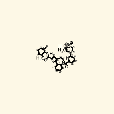 Cc1cccc(F)c1NC(=O)c1cc2c(s1)-c1ccccc1N(C(=O)c1cccc(N3CCS(=O)(=O)C(C)(C)C3)n1)CC2